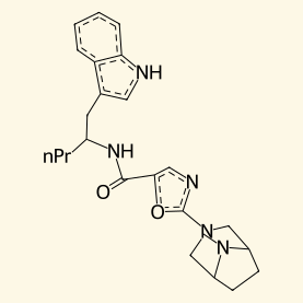 CCCC(Cc1c[nH]c2ccccc12)NC(=O)c1cnc(N2CC3CCC(C2)N3C)o1